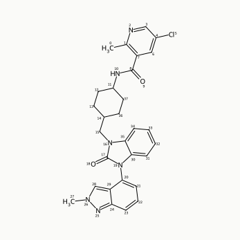 Cc1ncc(Cl)cc1C(=O)NC1CCC(Cn2c(=O)n(-c3cccc4nn(C)cc34)c3ccccc32)CC1